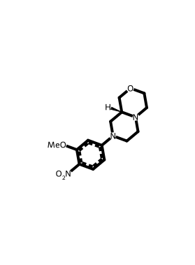 COc1cc(N2CCN3CCOC[C@H]3C2)ccc1[N+](=O)[O-]